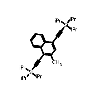 Cc1cc(C#C[Si](C(C)C)(C(C)C)C(C)C)c2ccccc2c1C#C[Si](C(C)C)(C(C)C)C(C)C